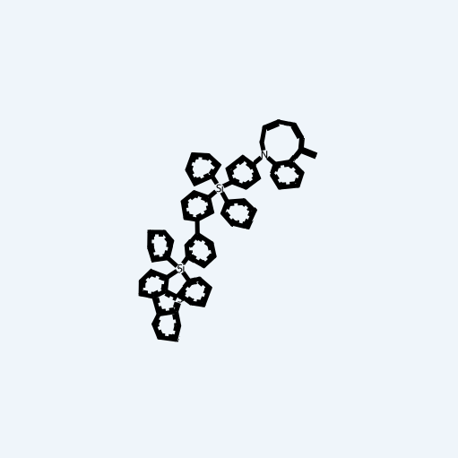 C=C1/C=C\C=C/CN(c2ccc([Si](c3ccccc3)(c3ccccc3)c3cccc(-c4cccc([Si](c5ccccc5)(c5ccccc5)c5cccc6c5sc5ccccc56)c4)c3)cc2)c2ccccc21